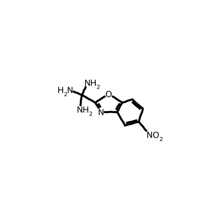 NC(N)(N)c1nc2cc([N+](=O)[O-])ccc2o1